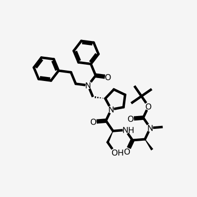 C[C@@H](C(=O)N[C@@H](CO)C(=O)N1CCC[C@H]1CN(CCc1ccccc1)C(=O)c1ccccc1)N(C)C(=O)OC(C)(C)C